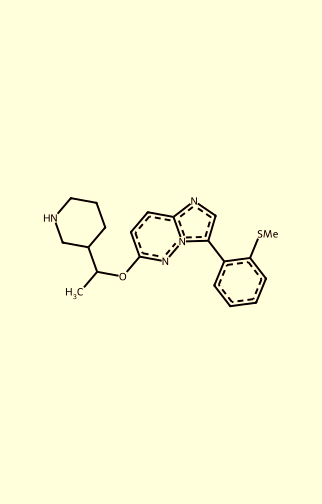 CSc1ccccc1-c1cnc2ccc(OC(C)C3CCCNC3)nn12